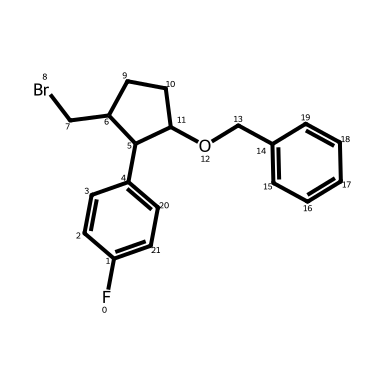 Fc1ccc(C2C(CBr)CCC2OCc2ccccc2)cc1